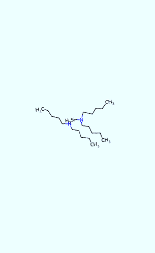 CCCCCN(CCCCC)[SiH2]N(CCCCC)CCCCC